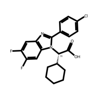 O=C(O)[C@H](C1CCCCC1)n1c(-c2ccc(Cl)cc2)nc2cc(F)c(F)cc21